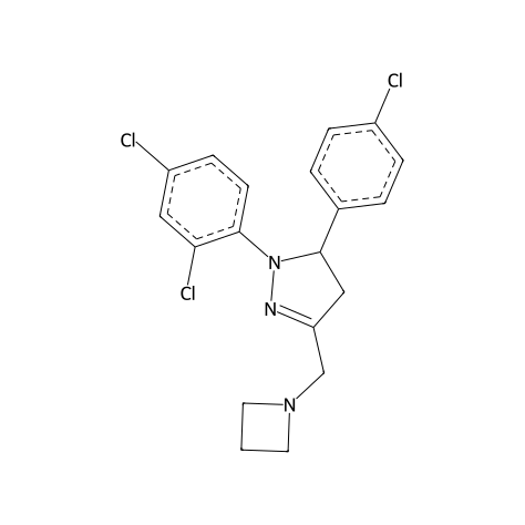 Clc1ccc(C2CC(CN3CCC3)=NN2c2ccc(Cl)cc2Cl)cc1